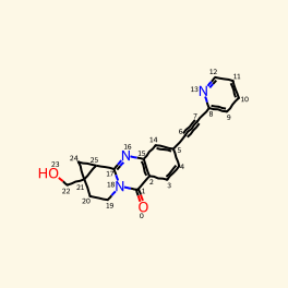 O=c1c2ccc(C#Cc3ccccn3)cc2nc2n1CCC1(CO)CC21